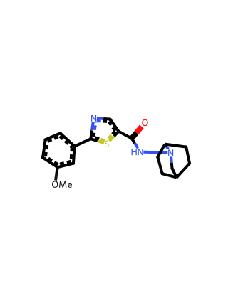 COc1cccc(-c2ncc(C(=O)NN3CC4CCC3CC4)s2)c1